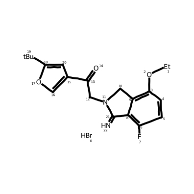 Br.CCOc1ccc(F)c2c1CN(CC(=O)c1coc(C(C)(C)C)c1)C2=N